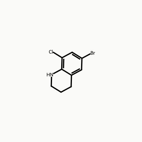 Clc1cc(Br)cc2c1NCCC2